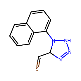 S=CC1N=NNN1c1cccc2ccccc12